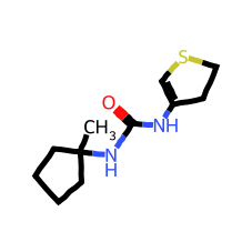 CC1(NC(=O)NC2=CSCC2)CCCC1